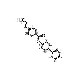 CCCc1ccc(C(=O)Oc2cnc(-c3cc[c]cc3)nc2)cc1